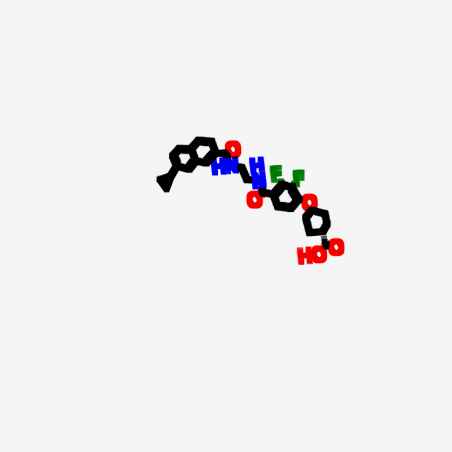 O=C(NCCNC(=O)c1ccc(O[C@H]2CC[C@@H](C(=O)O)CC2)c(F)c1F)c1ccc2ccc(C3CC3)cc2c1